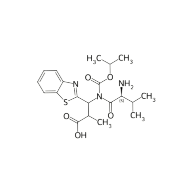 CC(C)OC(=O)N(C(=O)[C@@H](N)C(C)C)C(c1nc2ccccc2s1)C(C)C(=O)O